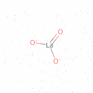 [O]=[La]([O-])[O-]